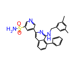 Cc1cc(C)cc(CNc2nc(-c3cncc(S(N)(=O)=O)c3)cc3cccc(-c4ccccc4)c23)c1